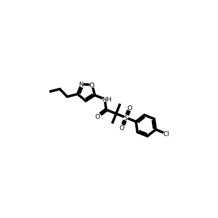 CCCc1cc(NC(=O)C(C)(C)S(=O)(=O)c2ccc(Cl)cc2)on1